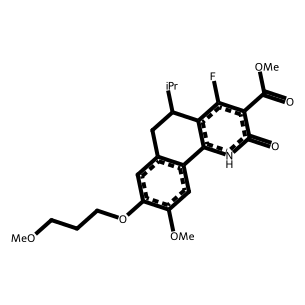 COCCCOc1cc2c(cc1OC)-c1[nH]c(=O)c(C(=O)OC)c(F)c1C(C(C)C)C2